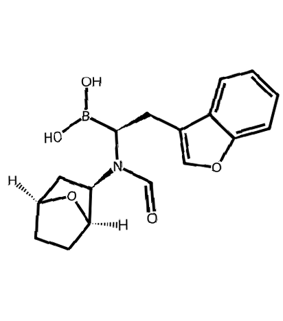 O=CN([C@H](Cc1coc2ccccc12)B(O)O)[C@@H]1C[C@@H]2CC[C@H]1O2